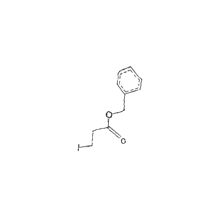 O=C(CCI)OCc1ccccc1